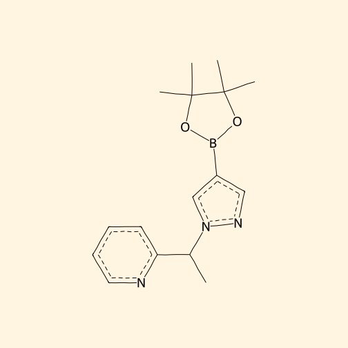 CC(c1ccccn1)n1cc(B2OC(C)(C)C(C)(C)O2)cn1